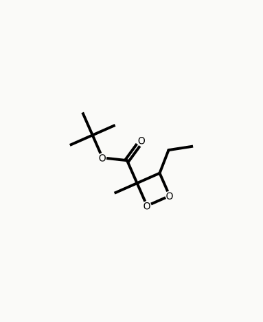 CCC1OOC1(C)C(=O)OC(C)(C)C